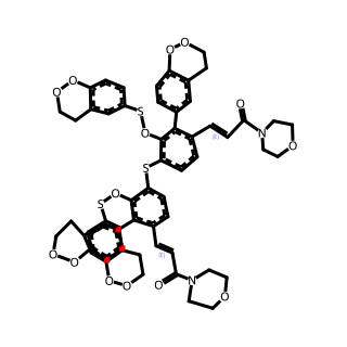 O=C(/C=C/c1ccc(Sc2ccc(/C=C/C(=O)N3CCOCC3)c(-c3ccc4c(c3)CCOO4)c2OSc2ccc3c(c2)CCOO3)c(OSc2ccc3c(c2)CCOO3)c1-c1ccc2c(c1)CCOO2)N1CCOCC1